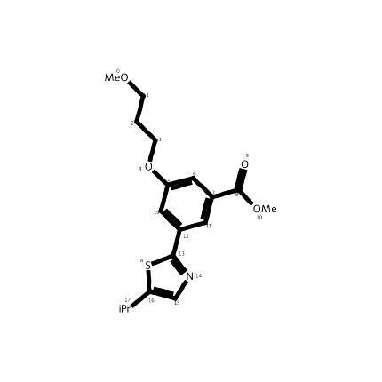 COCCCOc1cc(C(=O)OC)cc(-c2ncc(C(C)C)s2)c1